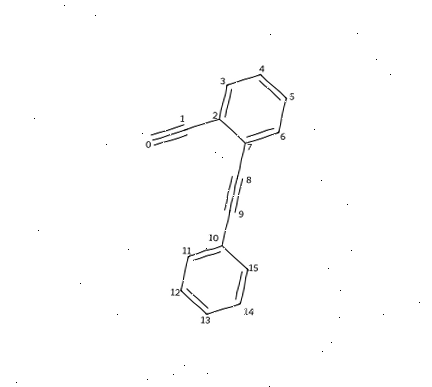 C#Cc1ccccc1C#Cc1ccccc1